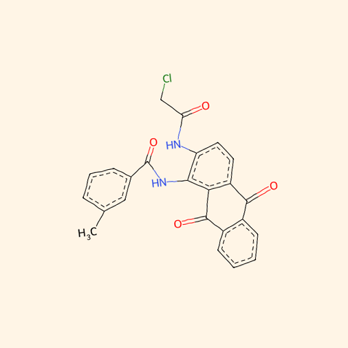 Cc1cccc(C(=O)Nc2c(NC(=O)CCl)ccc3c2C(=O)c2ccccc2C3=O)c1